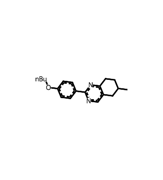 CCCCOc1ccc(-c2ncc3c(n2)CCC(C)C3)cc1